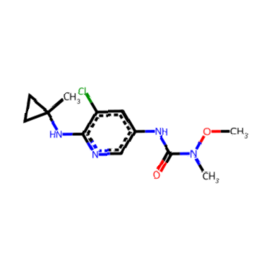 CON(C)C(=O)Nc1cnc(NC2(C)CC2)c(Cl)c1